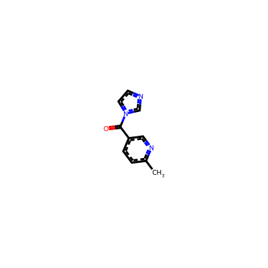 Cc1ccc(C(=O)n2ccnc2)cn1